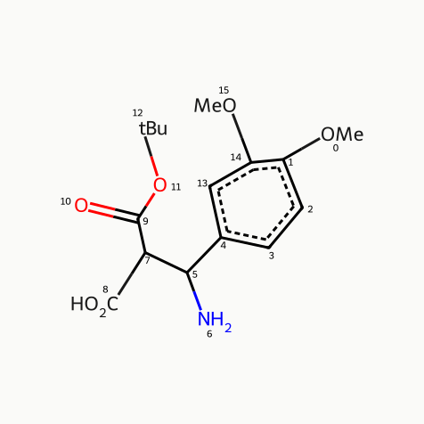 COc1ccc(C(N)C(C(=O)O)C(=O)OC(C)(C)C)cc1OC